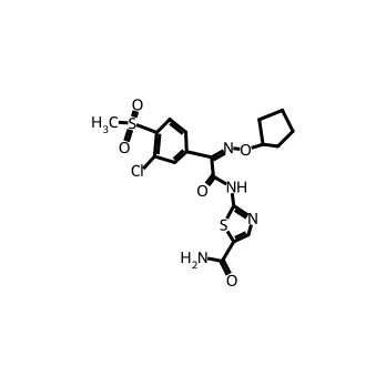 CS(=O)(=O)c1ccc(C(=NOC2CCCC2)C(=O)Nc2ncc(C(N)=O)s2)cc1Cl